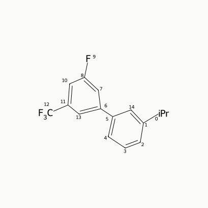 CC(C)c1cccc(-c2cc(F)cc(C(F)(F)F)c2)c1